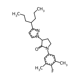 CCCC(CCC)c1ccn(C2CCN(c3cc(C)c(F)c(C)c3)C2=O)n1